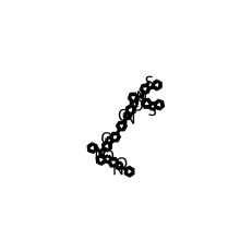 c1ccc(-c2nc3cc4c(cc3o2)oc2c(N(c3ccccc3)c3ccc5c(c3)oc3cc(-c6ccc(-c7nc8cc9oc%10c(N(c%11ccc%12sc%13ccccc%13c%12c%11)c%11ccc%12sc%13ccccc%13c%12c%11)cccc%10c9cc8o7)cc6)ccc35)cccc24)cc1